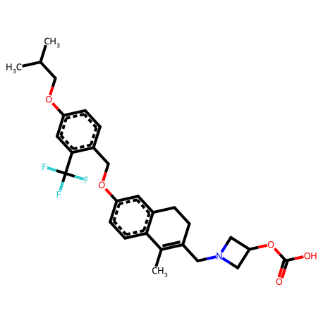 CC1=C(CN2CC(OC(=O)O)C2)CCc2cc(OCc3ccc(OCC(C)C)cc3C(F)(F)F)ccc21